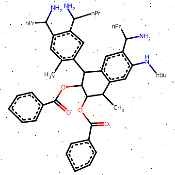 CCCCNc1cc2c(cc1C(N)CCC)C(c1cc(C(N)CCC)c(C(N)CCC)cc1C)C(OC(=O)c1ccccc1)C(OC(=O)c1ccccc1)C2C